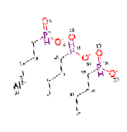 CCCC[PH](=O)[O-].CCCC[PH](=O)[O-].CCCC[PH](=O)[O-].[Al+3]